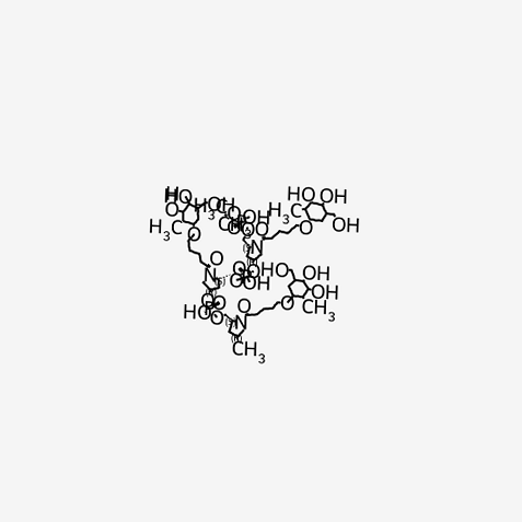 CC(C)OP(=O)(O)OC[C@@H]1C[C@@H](OP(=O)(O)OC[C@@H]2C[C@@H](OP(=O)(O)OC[C@@H]3C[C@@H](C)CN3C(=O)CCCCOC3CC(CO)C(O)C(O)C3C)CN2C(=O)CCCCOC2CC(CO)C(O)C(O)C2C)CN1C(=O)CCCCOC1CC(CO)C(O)C(O)C1C